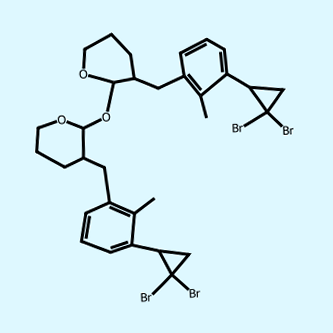 Cc1c(CC2CCCOC2OC2OCCCC2Cc2cccc(C3CC3(Br)Br)c2C)cccc1C1CC1(Br)Br